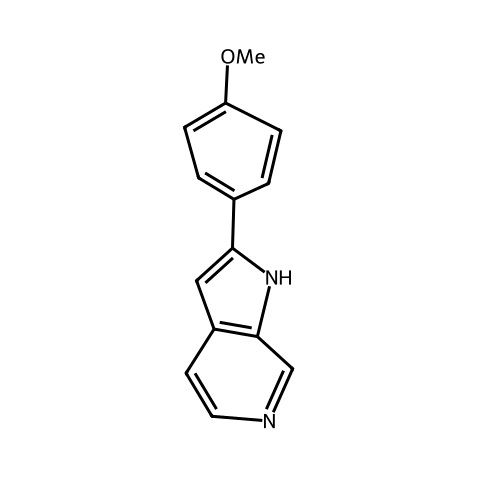 COc1ccc(-c2cc3ccncc3[nH]2)cc1